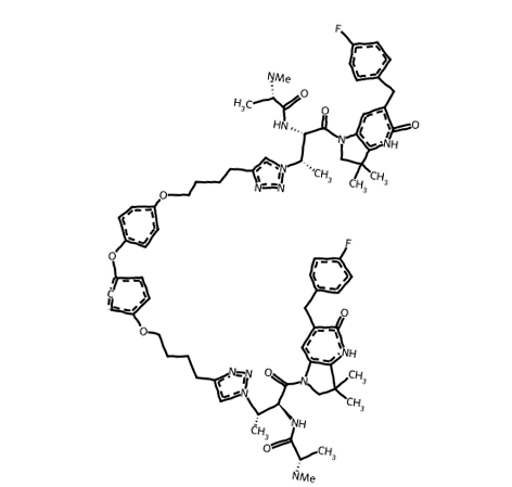 CN[C@@H](C)C(=O)N[C@H](C(=O)N1CC(C)(C)c2[nH]c(=O)c(Cc3ccc(F)cc3)cc21)[C@H](C)n1cc(CCCCOc2ccc(Oc3ccc(OCCCCc4cn([C@@H](C)[C@H](NC(=O)[C@H](C)NC)C(=O)N5CC(C)(C)c6[nH]c(=O)c(Cc7ccc(F)cc7)cc65)nn4)cc3)cc2)nn1